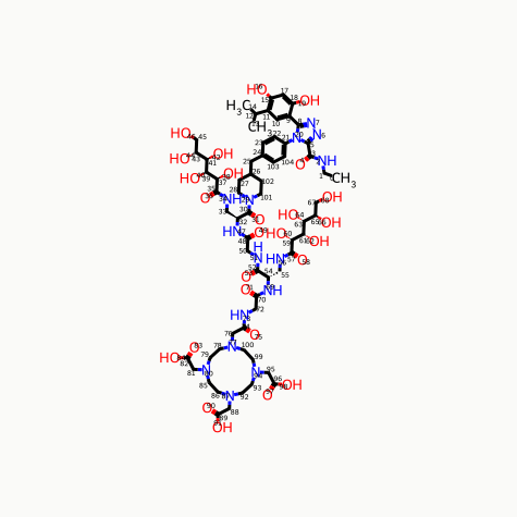 CCNC(=O)c1nnc(-c2cc(C(C)C)c(O)cc2O)n1-c1ccc(CC2CCN(C(=O)[C@H](CNC(=O)[C@H](O)[C@@H](O)[C@H](O)[C@H](O)CO)NC(=O)CNC(=O)[C@H](CNC(=O)[C@H](O)[C@@H](O)[C@H](O)[C@H](O)CO)NC(=O)CNC(=O)CN3CCN(CC(=O)O)CCN(CC(=O)O)CCN(CC(=O)O)CC3)CC2)cc1